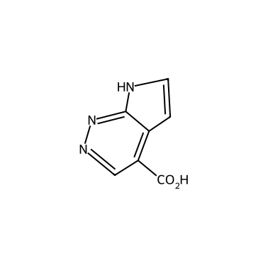 O=C(O)c1cnnc2[nH]ccc12